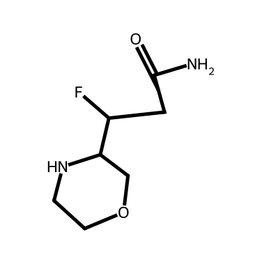 NC(=O)CC(F)C1COCCN1